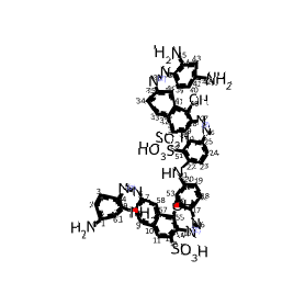 Nc1ccc(/N=N\c2ccc3cc(S(=O)(=O)O)c(/N=N\c4ccc(Nc5ccc(/N=N\c6c(S(=O)(=O)O)cc7ccc(/N=N\c8ccc(N)cc8N)cc7c6O)cc5S(=O)(=O)O)cc4)c(O)c3c2)c(N)c1